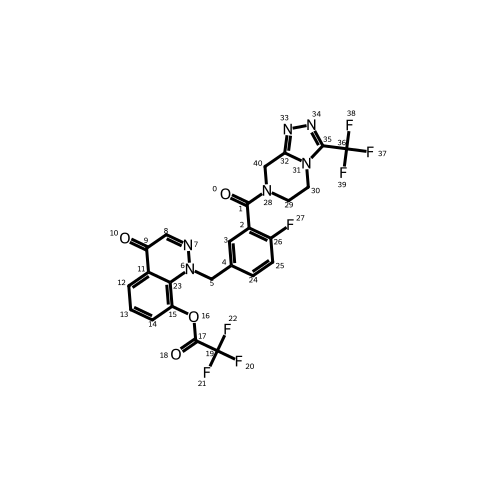 O=C(c1cc(Cn2ncc(=O)c3cccc(OC(=O)C(F)(F)F)c32)ccc1F)N1CCn2c(nnc2C(F)(F)F)C1